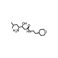 CC(C)C[C@H](N)[C@@H](O)CC(=O)NCCN1CCOCC1